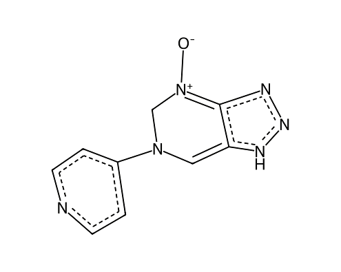 [O-][N+]1=c2nn[nH]c2=CN(c2ccncc2)C1